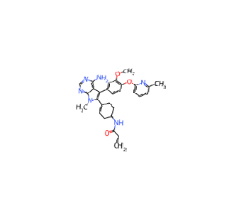 C=CC(=O)NC1CC=C(c2c(-c3ccc(Oc4cccc(C)n4)c(OC)c3)c3c(N)ncnc3n2C)CC1